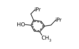 Cc1cc(O)c(CC(C)C)cc1CC(C)C